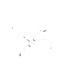 C=CCOC(=O)C(=[N+]=[N-])C(=O)[C@H](CCCO[Si](C)(C)C(C)(C)C)[C@H]1NC(=O)[C@@H]1[C@@H](C)O[Si](C)(C)C(C)(C)C